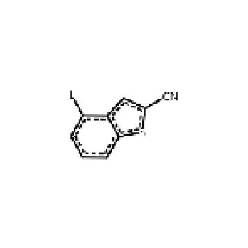 N#Cc1cc2c(I)cccc2s1